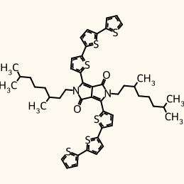 CC(C)CCCC(C)CCN1C(=O)C2=C(c3ccc(-c4ccc(-c5cccs5)s4)s3)N(CCC(C)CCCC(C)C)C(=O)C2=C1c1ccc(-c2ccc(-c3cccs3)s2)s1